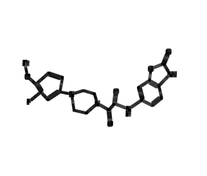 CCOc1ccc(N2CCN(C(=O)C(=O)Nc3ccc4[nH]c(=O)oc4c3)CC2)cc1F